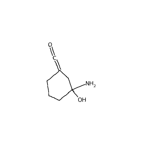 NC1(O)CCCC(=C=O)C1